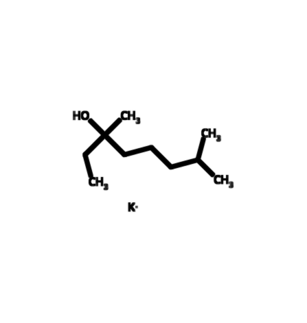 CCC(C)(O)CCCC(C)C.[K]